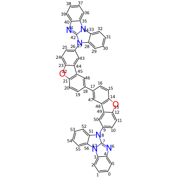 c1ccc2c(c1)nc1n(-c3ccc4oc5ccc(-c6ccc7oc8ccc(-n9c%10ccccc%10n%10c%11ccccc%11nc9%10)cc8c7c6)cc5c4c3)c3ccccc3n21